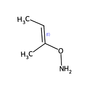 C/C=C(\C)ON